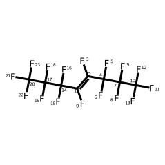 FC(=C(F)C(F)(F)C(F)(F)C(F)(F)F)C(F)(F)C(F)(F)C(F)(F)F